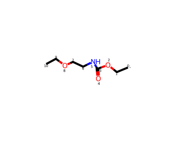 [CH2]COC(=O)NCCOCC